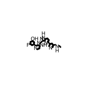 CCNCc1cncc(-c2ccc3[nH]nc(-c4nc5c(-c6cc(O)cc(F)c6)nccc5[nH]4)c3n2)c1